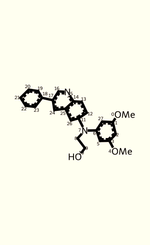 COc1cc(OC)cc(N(CCO)c2ccc3ncc(-c4ccccc4)cc3c2)c1